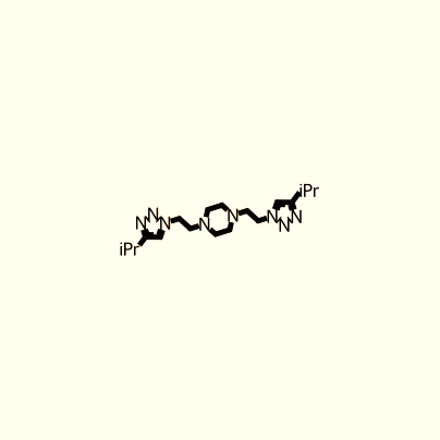 CC(C)c1cn(CCN2CCN(CCn3cc(C(C)C)nn3)CC2)nn1